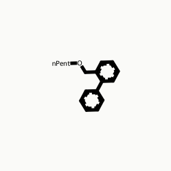 CCCCCOCc1ccccc1-c1ccccc1